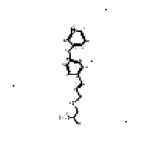 CC(O)COC/C=C/c1ccc(Cc2cccnc2)cc1